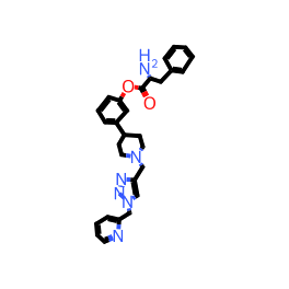 NC(Cc1ccccc1)C(=O)Oc1cccc(C2CCN(Cc3cn(Cc4ccccn4)nn3)CC2)c1